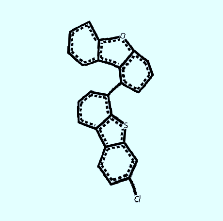 Clc1ccc2c(c1)sc1c(-c3cccc4oc5ccccc5c34)cccc12